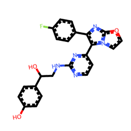 Oc1ccc(C(O)CNc2nccc(-c3c(-c4ccc(F)cc4)nc4occn34)n2)cc1